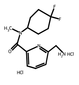 CN(C(=O)c1cccc(CN)n1)C1CCC(F)(F)CC1.Cl.Cl